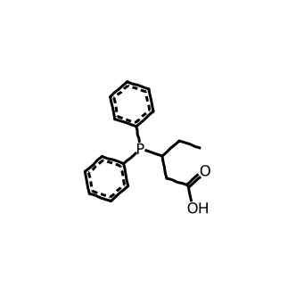 CCC(CC(=O)O)P(c1ccccc1)c1ccccc1